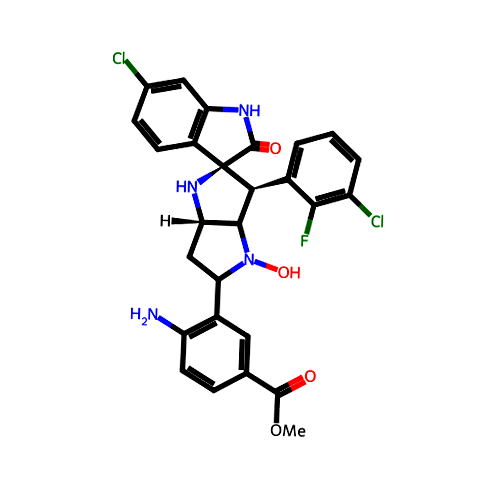 COC(=O)c1ccc(N)c(C2C[C@@H]3N[C@@]4(C(=O)Nc5cc(Cl)ccc54)[C@@H](c4cccc(Cl)c4F)C3N2O)c1